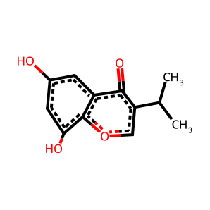 CC(C)c1coc2c(O)cc(O)cc2c1=O